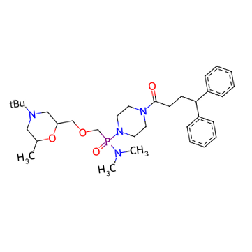 CC1CN(C(C)(C)C)CC(COCP(=O)(N(C)C)N2CCN(C(=O)CCC(c3ccccc3)c3ccccc3)CC2)O1